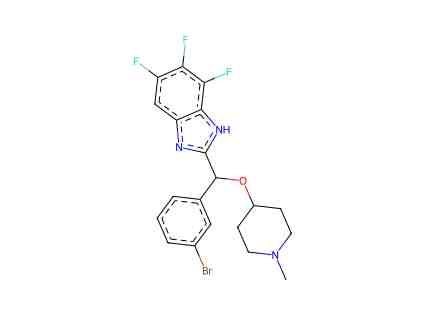 CN1CCC(OC(c2cccc(Br)c2)c2nc3cc(F)c(F)c(F)c3[nH]2)CC1